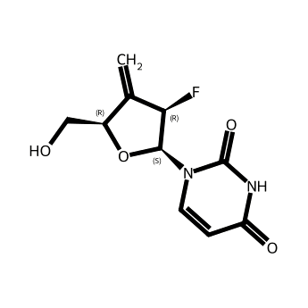 C=C1[C@H](CO)O[C@H](n2ccc(=O)[nH]c2=O)[C@@H]1F